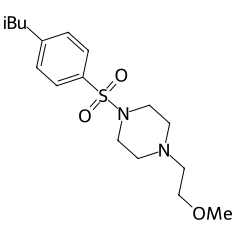 CCC(C)c1ccc(S(=O)(=O)N2CCN(CCOC)CC2)cc1